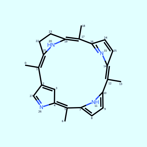 Cc1c2cc(c(C)c3ccc([nH]3)c(C)c3nc(c(C)c4[nH]c1CC4)C=C3)N=C2